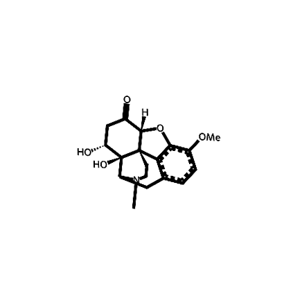 COc1ccc2c3c1O[C@H]1C(=O)C[C@@H](O)[C@@]4(O)C(C2)N(C)CC[C@]314